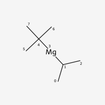 C[CH](C)[Mg][C](C)(C)C